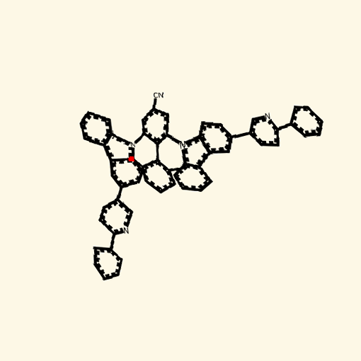 N#Cc1cc(-n2c3ccccc3c3cc(-c4ccc(-c5ccccc5)nc4)ccc32)c(-c2c(F)cccc2F)c(-n2c3ccccc3c3cc(-c4ccc(-c5ccccc5)nc4)ccc32)c1